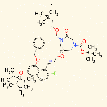 CC(C)[Si](Oc1cc(OCc2ccccc2)c2c(/C=C/CO[C@@H]3CN(COCC[Si](C)(C)C)C(=O)CN(C(=O)OC(C)(C)C)C3)c(F)ccc2c1)(C(C)C)C(C)C